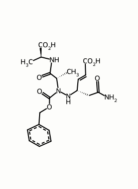 C[C@H](NC(=O)[C@H](C)N(N[C@H](/C=C/C(=O)O)CC(N)=O)C(=O)OCc1ccccc1)C(=O)O